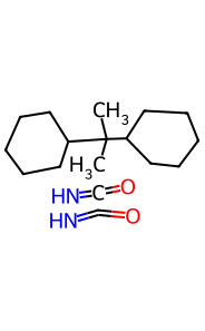 CC(C)(C1CCCCC1)C1CCCCC1.N=C=O.N=C=O